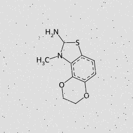 CN1c2c(ccc3c2OCCO3)SC1N